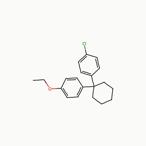 CCOc1ccc(C2(c3ccc(Cl)cc3)CCCCC2)cc1